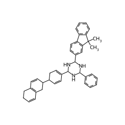 CC1(C)c2ccccc2-c2ccc(C3NC(C4=CCC(C5C=CC6=C(C=CCC6)C5)C=C4)NC(c4ccccc4)N3)cc21